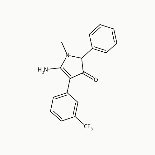 CN1C(N)=C(c2cccc(C(F)(F)F)c2)C(=O)C1c1ccccc1